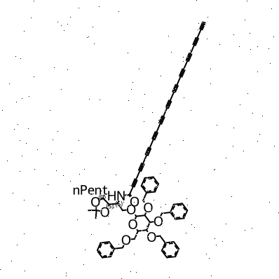 C#CC#CC#CC#CC#CC#CC#CC#CC#CC#CC#CC(=O)N[C@@H](COC1OC(COCc2ccccc2)C(OCc2ccccc2)C(OCc2ccccc2)C1OCc1ccccc1)[C@@H]1OC(C)(C)O[C@@H]1CCCCC